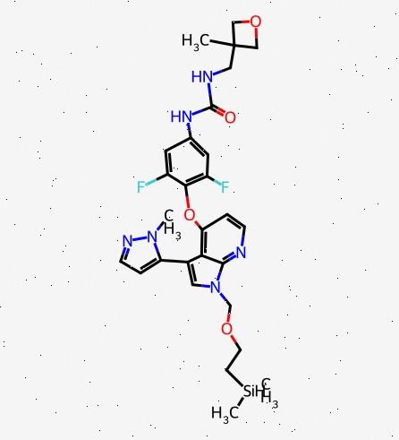 Cn1nccc1-c1cn(COCC[SiH](C)C)c2nccc(Oc3c(F)cc(NC(=O)NCC4(C)COC4)cc3F)c12